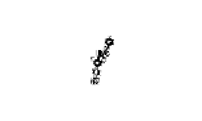 CC(C)(C)OC(=O)N1CCN(c2cc(F)c3c(c2)OC[C@H](NC(=O)OCc2ccccc2)C3)CC1